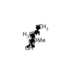 COc1nc(N(CCCO)C2CCC2)ncc1-c1ccc(Oc2cncc(-c3cnn(C)c3)c2)c(C)n1